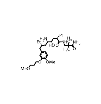 CC[C@@H](Cc1ccc(OC)c(OCCCOC)c1)C[C@H](N)[C@@H](O)C[C@H](C(=O)NCC(C)(C)C(N)=O)C(C)C